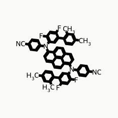 [C-]#[N+]c1ccc(N(c2cc(-c3ccc(C)cc3C)c(F)cc2F)c2ccc3ccc4c(N(c5ccc(C#N)cc5)c5cc(-c6ccc(C)cc6C)c(F)cc5F)ccc5ccc2c3c54)cc1